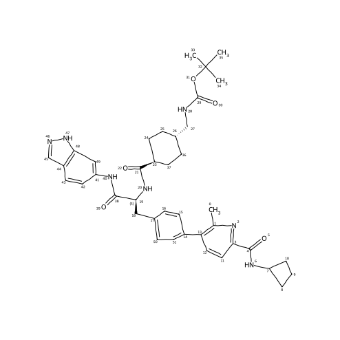 Cc1nc(C(=O)NC2CCC2)ccc1-c1ccc(C[C@H](NC(=O)[C@H]2CC[C@H](CNC(=O)OC(C)(C)C)CC2)C(=O)Nc2ccc3cn[nH]c3c2)cc1